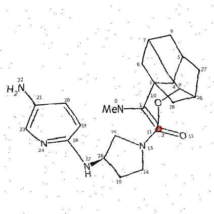 CNC(=O)C12CC3CC(C1)C(OC(=O)N1CC[C@@H](Nc4ccc(N)cn4)C1)C(C3)C2